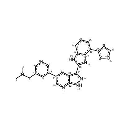 CN(C)Cc1cncc(-c2cnc3[nH]nc(-c4nc5c(-c6ccoc6)cccc5[nH]4)c3c2)c1